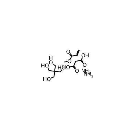 C=CC(=O)OC.N.N.O=C(O)CC(=O)O.OCC(CO)(CO)CO